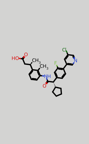 Cc1c(NC(=O)[C@H](c2ccc(-c3cncc(Cl)c3)c(F)c2)C2CCCC2)cccc1[C@H](C)CC(=O)O